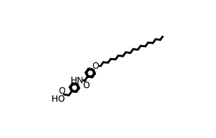 CCCCCCCCCCCCCCCCCCOc1ccc(C(=O)Nc2ccc(CC(=O)O)cc2)cc1